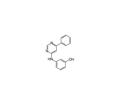 Oc1cccc(Nc2cc(-c3ccccc3)ncn2)c1